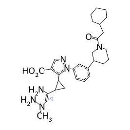 CN(N)/C=C(\N)C1CC1c1c(C(=O)O)cnn1-c1cccc(C2CCCN(C(=O)CC3CCCCC3)C2)c1